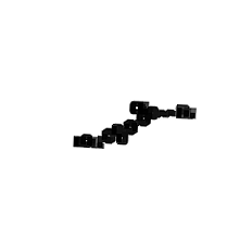 CCCCCCCCc1ccc(OC(=O)c2ccc(-c3ccc(OCCCCC[C@@H](C)CC)c(C#N)c3)cc2)cc1